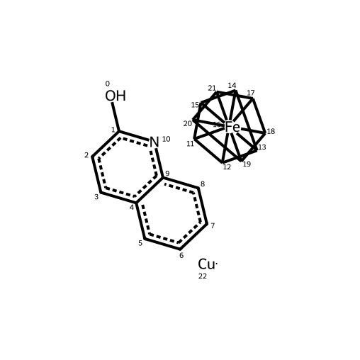 Oc1ccc2ccccc2n1.[CH]12[CH]3[CH]4[CH]5[CH]1[Fe]23451678[CH]2[CH]1[CH]6[CH]7[CH]28.[Cu]